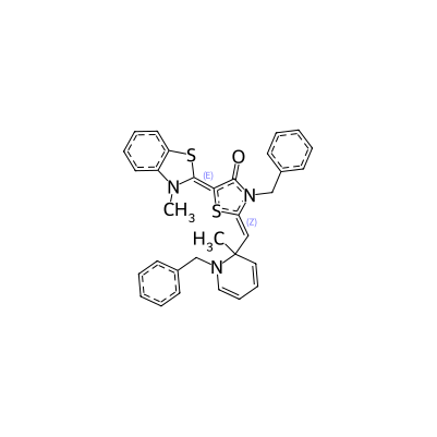 CN1/C(=c2\s/c(=C\C3(C)C=CC=CN3Cc3ccccc3)n(Cc3ccccc3)c2=O)Sc2ccccc21